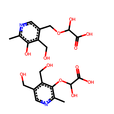 Cc1ncc(CO)c(CO)c1OC(O)C(=O)O.Cc1ncc(COC(O)C(=O)O)c(CO)c1O